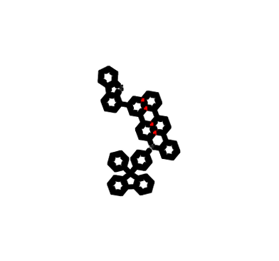 c1ccc(-c2ccc(-c3ccccc3N(c3ccc(-c4cccc(-c5cccc6c5sc5ccccc56)c4)cc3)c3ccc(C4(c5ccccc5)c5ccccc5-c5ccccc54)cc3)cc2)cc1